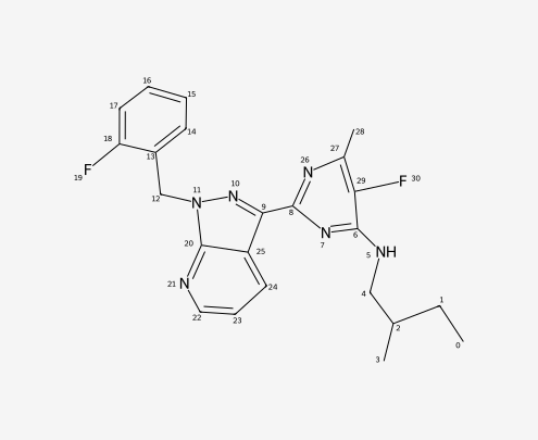 CCC(C)CNc1nc(-c2nn(Cc3ccccc3F)c3ncccc23)nc(C)c1F